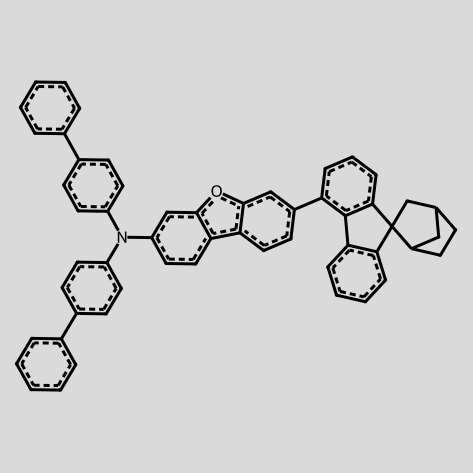 c1ccc(-c2ccc(N(c3ccc(-c4ccccc4)cc3)c3ccc4c(c3)oc3cc(-c5cccc6c5-c5ccccc5C65CC6CCC5C6)ccc34)cc2)cc1